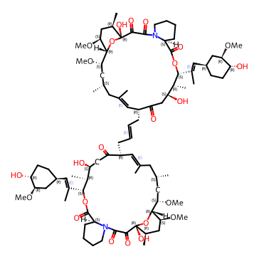 CO[C@H]1C[C@@H](C)C/C(C)=C/[C@@H](C/C=C/C[C@@H]2/C=C(\C)C[C@H](C)C[C@H](OC)[C@H]3O[C@@](O)(C(=O)C(=O)N4CCCC[C@H]4C(=O)O[C@H](/C(C)=C/[C@@H]4CC[C@@H](O)[C@H](OC)C4)[C@H](C)[C@@H](O)CC2=O)[C@H](C)C[C@@H]3OC)C(=O)C[C@H](O)[C@@H](C)[C@@H](/C(C)=C/[C@@H]2CC[C@@H](O)[C@H](OC)C2)OC(=O)[C@@H]2CCCCN2C(=O)C(=O)[C@]2(O)O[C@H]1[C@@H](OC)C[C@H]2C